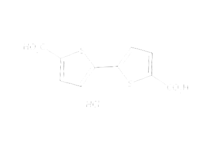 Cl.O=C(O)c1ccc(-c2ccc(C(=O)O)s2)s1